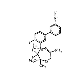 [C-]#[N+]c1cccc(-c2ccc(F)c([C@@]3(C)N=C(N)COC(C)(C)C3(F)F)c2)c1